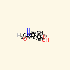 CC(=O)C1Cc2cc(-c3ccc(C(=O)O)cc3C)ccc2N1